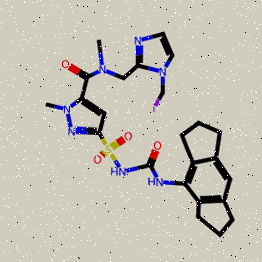 CN(Cc1nccn1CI)C(=O)c1cc(S(=O)(=O)NC(=O)Nc2c3c(cc4c2CCC4)CCC3)nn1C